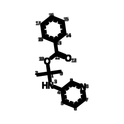 CC(C)(Nc1cccnc1)OC(=O)c1ccccc1